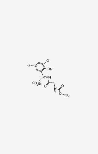 CCOC(=O)C[C@@H](NC(=O)CNC(=O)OC(C)(C)C)c1cc(Br)cc(Cl)c1O